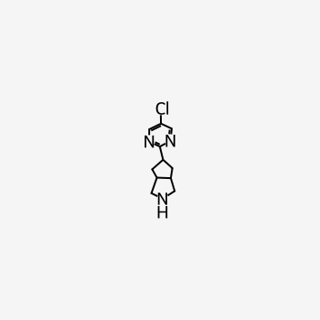 Clc1cnc(C2CC3CNCC3C2)nc1